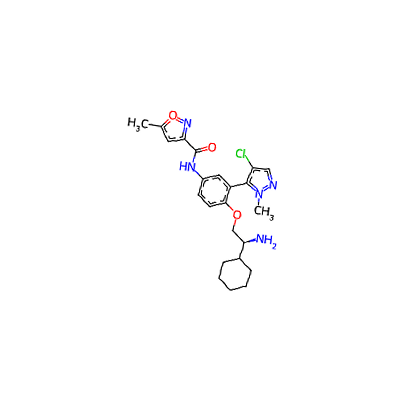 Cc1cc(C(=O)Nc2ccc(OC[C@@H](N)C3CCCCC3)c(-c3c(Cl)cnn3C)c2)no1